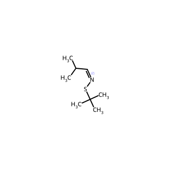 CC(C)/C=N\SC(C)(C)C